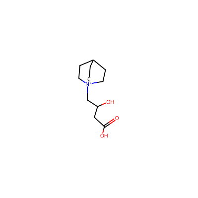 O=C(O)CC(O)C[N+]12CCC(CC1)CC2